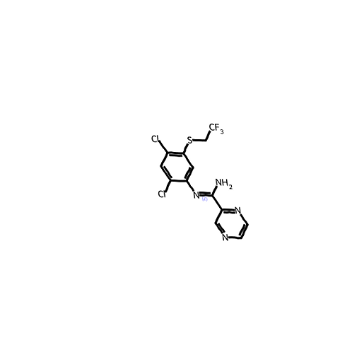 N/C(=N\c1cc(SCC(F)(F)F)c(Cl)cc1Cl)c1cnccn1